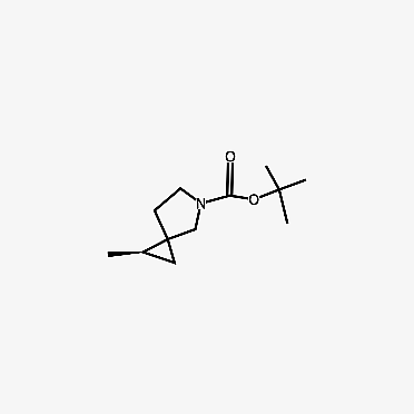 C[C@@H]1CC12CCN(C(=O)OC(C)(C)C)C2